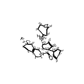 O=C(N1CCc2ccc(C(F)(F)F)cc2C1)[C@@]1(c2ccccc2)CC[C@@H](NC2CCOCC2)C1